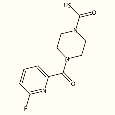 O=C(S)N1CCN(C(=O)c2cccc(F)n2)CC1